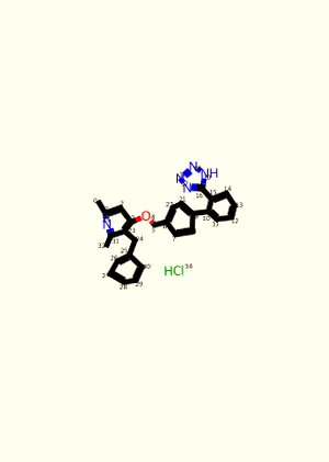 Cc1cc(OCc2ccc(-c3ccccc3-c3nnn[nH]3)cc2)c(Cc2ccccc2)c(C)n1.Cl